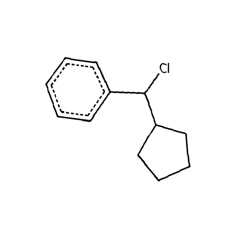 ClC(c1ccccc1)C1CCCC1